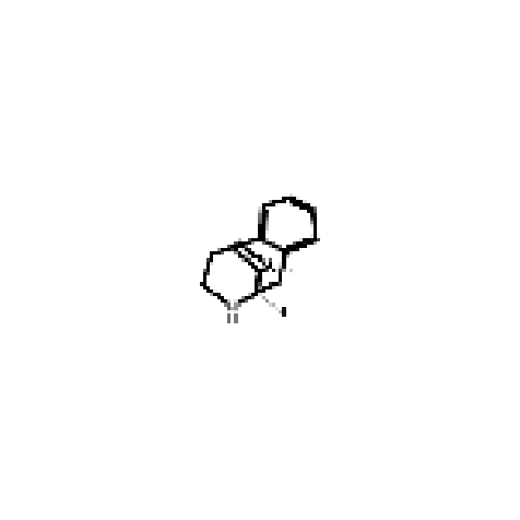 CC12OCCC[C@@]13CCN[C@@H]2Cc1ccccc13